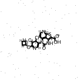 CC1C(N2C(=O)Nc3c(C(=O)O)sc4nccc2c34)=CN=C(OC2CCC2)C1C